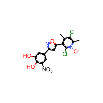 Cc1c(Cl)c(C)[n+]([O-])c(Cl)c1-c1cc(-c2cc(O)c(O)c([N+](=O)[O-])c2)no1